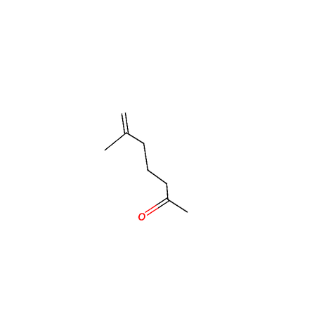 C=C(C)CCCC(C)=O